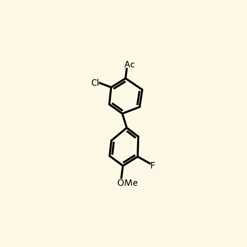 COc1ccc(-c2ccc(C(C)=O)c(Cl)c2)cc1F